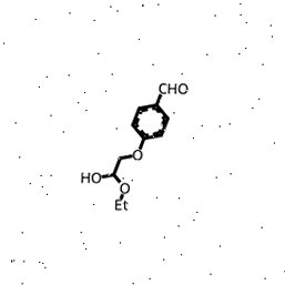 CCOC(O)COc1ccc(C=O)cc1